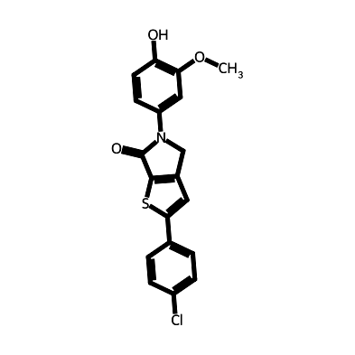 COc1cc(N2Cc3cc(-c4ccc(Cl)cc4)sc3C2=O)ccc1O